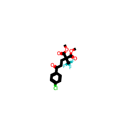 COC(=O)C(CCC(=O)c1ccc(Cl)cc1)(C(=O)OC)C(F)(F)F